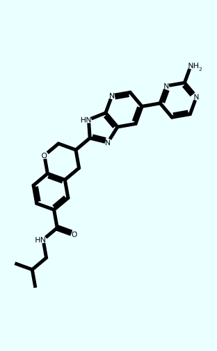 CC(C)CNC(=O)c1ccc2c(c1)CC(c1nc3cc(-c4ccnc(N)n4)cnc3[nH]1)CO2